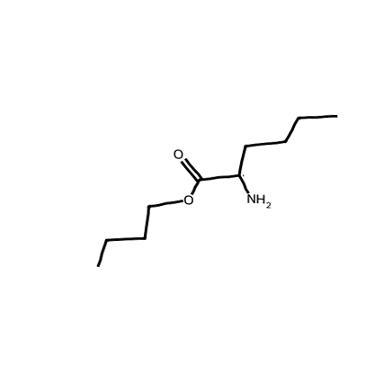 CCCCOC(=O)[C](N)CCCC